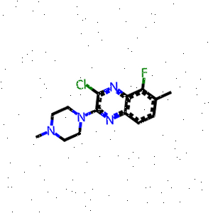 Cc1ccc2nc(N3CCN(C)CC3)c(Cl)nc2c1F